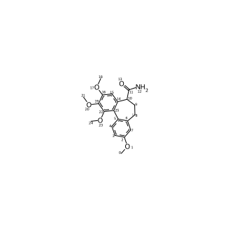 COc1ccc2c(c1)[C]CC(C(N)=O)c1cc(OC)c(OC)c(OC)c1-2